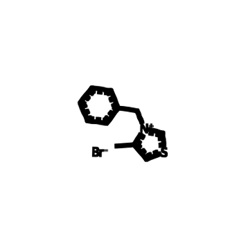 Cc1csc[n+]1Cc1ccccc1.[Br-]